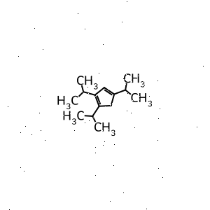 CC(C)C1=CC(C(C)C)=C(C(C)C)C1